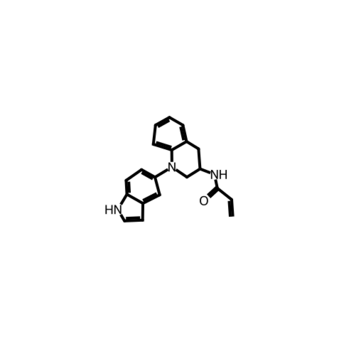 C=CC(=O)NC1Cc2ccccc2N(c2ccc3[nH]ccc3c2)C1